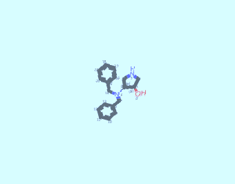 O[C@@H]1CNC[C@H]1N(Cc1ccccc1)Cc1ccccc1